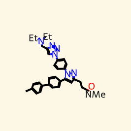 CCN(CC)Cc1cn(-c2ccc(-n3nc(CCC(=O)NC)cc3-c3ccc(-c4ccc(C)cc4)cc3)cc2)nn1